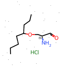 CCCCC(CCC)OC[C@H](N)C=O.Cl